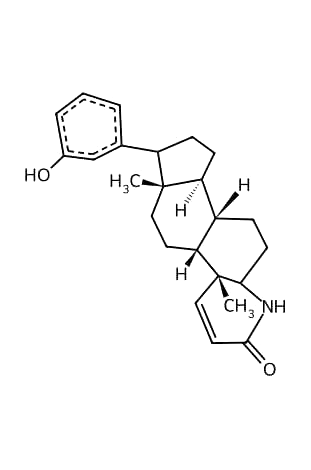 C[C@]12C=CC(=O)NC1CC[C@@H]1[C@H]2CC[C@]2(C)C(c3cccc(O)c3)CC[C@@H]12